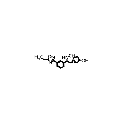 CCc1nc(-c2cccc(C(CN3CCC(O)C3)NC)c2)no1